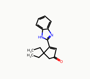 CCC1(CC)CC(=O)C=C1c1nc2ccccc2[nH]1